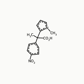 Cn1cccc1C(C)(C(=O)O)c1ccc([N+](=O)[O-])cc1